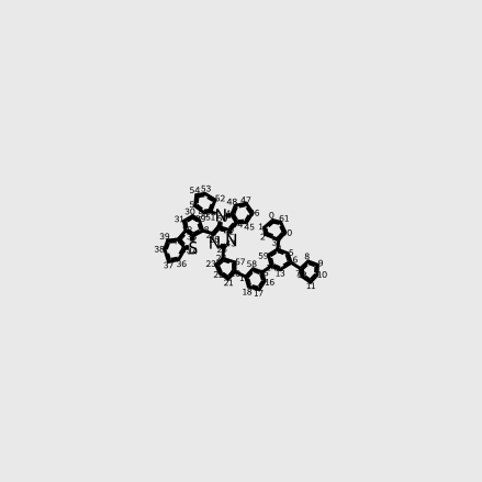 c1ccc(-c2cc(-c3ccccc3)cc(-c3cccc(-c4cccc(-c5nc(-c6cccc7c6sc6ccccc67)c6c(n5)c5ccccc5n6-c5ccccc5)c4)c3)c2)cc1